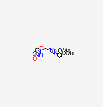 COc1cccc(N2CCN(CCCCOc3ccc4c(n3)NC(=O)CC4)CC2)c1OC